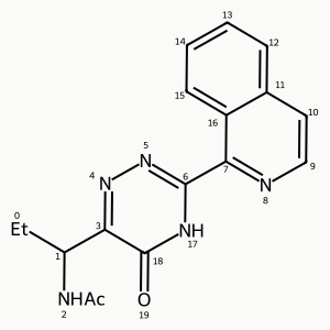 CCC(NC(C)=O)c1nnc(-c2nccc3ccccc23)[nH]c1=O